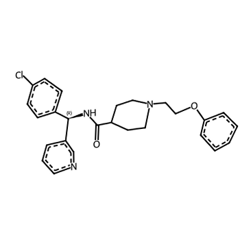 O=C(N[C@H](c1ccc(Cl)cc1)c1cccnc1)C1CCN(CCOc2ccccc2)CC1